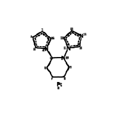 [Pt].c1ccn(C2CCCCN2n2ccnc2)c1